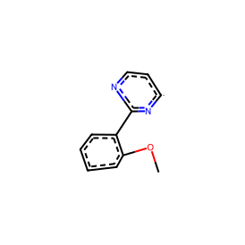 COc1ccccc1-c1n[c]ccn1